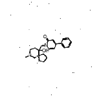 CN1CCC(O)(Cn2ccc(-c3ccccc3)cc2=O)C2(CCCC2)C1